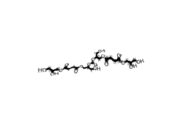 O=C(CCC(=O)OCC(CO)OC(=O)OC(CO)COC(=O)CCC(=O)OCC(O)CO)OCC(O)CO